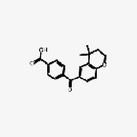 CC1(C)CCOc2ccc(C(=O)c3ccc(C(=O)O)cc3)cc21